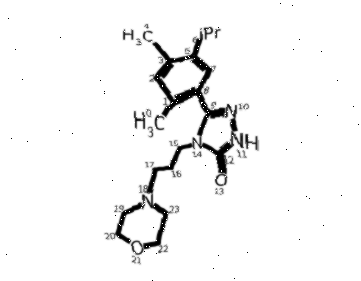 Cc1cc(C)c(C(C)C)cc1-c1n[nH]c(=O)n1CCCN1CCOCC1